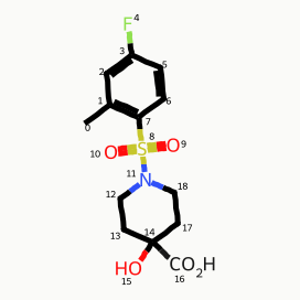 Cc1cc(F)ccc1S(=O)(=O)N1CCC(O)(C(=O)O)CC1